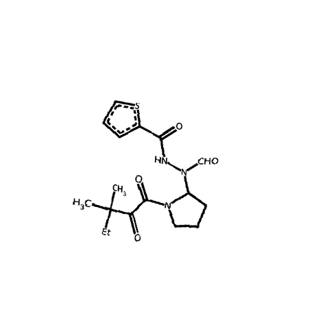 CCC(C)(C)C(=O)C(=O)N1CCCC1N(C=O)NC(=O)c1cccs1